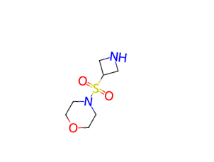 O=S(=O)(C1CNC1)N1CCOCC1